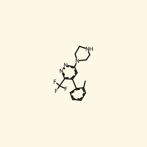 Cc1ccccc1-c1cc(N2CCNCC2)nnc1C(F)(F)F